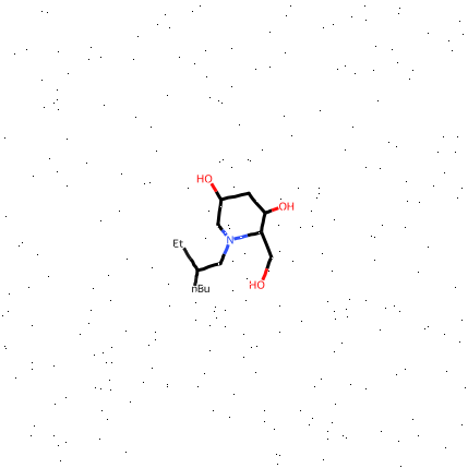 CCCCC(CC)CN1CC(O)CC(O)C1CO